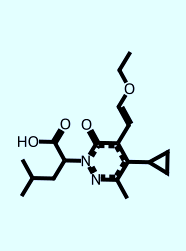 CCOC=Cc1c(C2CC2)c(C)nn(C(CC(C)C)C(=O)O)c1=O